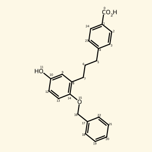 O=C(O)c1ccc(CCCc2cc(O)ccc2OCc2ccccc2)cc1